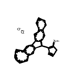 [Cl-].[Cl-].[Zr+2][C]1=C(C2c3cc4ccccc4cc3-c3cc4ccccc4cc32)C=CC1